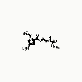 CC(C)Cn1cc([N+](=O)[O-])cc1C(=O)NCCNC(=O)OC(C)(C)C